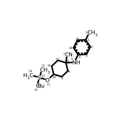 Cc1ccc(NC2(C#N)CCC(O[Si](C)(C)C(C)(C)C)CC2)cc1